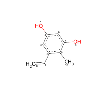 C=Cc1cc(O)cc(O)c1C